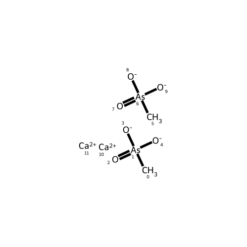 C[As](=O)([O-])[O-].C[As](=O)([O-])[O-].[Ca+2].[Ca+2]